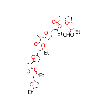 CCC(CC1CCC(C(C)C(=O)OC(CC)CC2CCC(C(C)C(=O)OC(CC)CC3CCC(C(C)C(=O)OC(CC)CC4CCC(CC)O4)O3)O2)O1)OC=O